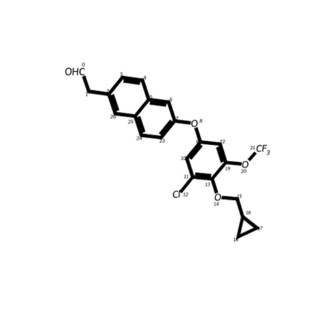 O=CCc1ccc2cc(Oc3cc(Cl)c(OCC4CC4)c(OC(F)(F)F)c3)ccc2c1